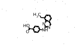 CCc1cccc2cnc(Nc3ccc(C(=O)O)cc3)nc12